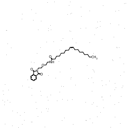 CCCCCCCC/C=C\CCCCCCCC(=O)NCCOCCN1C(=O)c2ccccc2C1=O